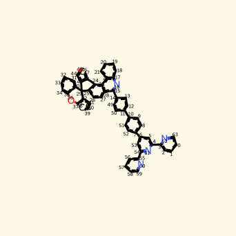 c1ccc(-c2cc(-c3ccc(-c4ccc(-c5nc6ccccc6c6c7c(ccc56)C5(c6ccccc6Oc6ccccc65)c5ccccc5-7)cc4)cc3)cc(-c3ccccn3)n2)nc1